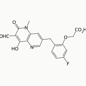 Cn1c(=O)c(C=O)c(O)c2ncc(Cc3ccc(F)cc3OCC(=O)O)cc21